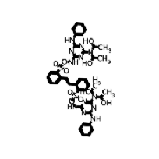 CC(O)N(c1nc(NOS(=O)(=O)c2ccccc2C=Cc2ccccc2S(=O)(=O)ONc2nc(Nc3ccccc3)nc(N(C(C)O)C(C)O)n2)nc(Nc2ccccc2)n1)C(C)O